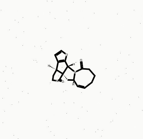 O=C1CCC/C=C\[C@H]2C[C@]34C(=O)NCC[C@H]3c3ccoc3[C@@H]4N12